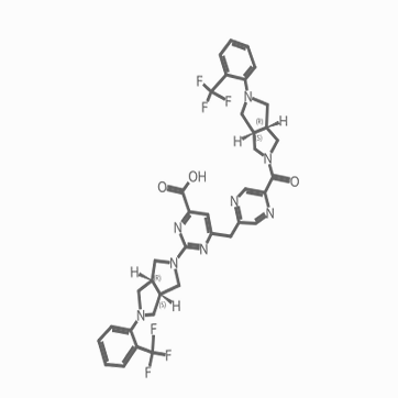 O=C(O)c1cc(Cc2cnc(C(=O)N3C[C@@H]4CN(c5ccccc5C(F)(F)F)C[C@@H]4C3)cn2)nc(N2C[C@@H]3CN(c4ccccc4C(F)(F)F)C[C@@H]3C2)n1